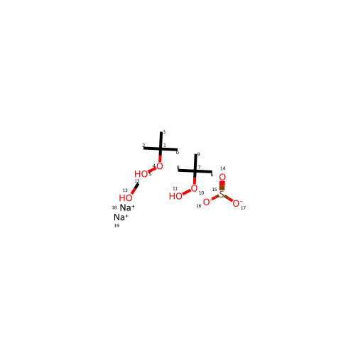 CC(C)(C)OO.CC(C)(C)OO.CO.O=S([O-])[O-].[Na+].[Na+]